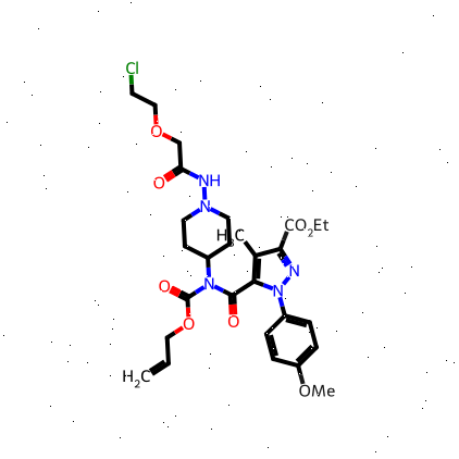 C=CCOC(=O)N(C(=O)c1c(C)c(C(=O)OCC)nn1-c1ccc(OC)cc1)C1CCN(NC(=O)COCCCl)CC1